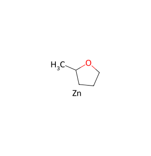 CC1CCCO1.[Zn]